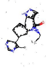 CCc1ncncc1-c1ccc2c3[nH]ncc3c(=O)n(CC(F)(F)F)c2c1